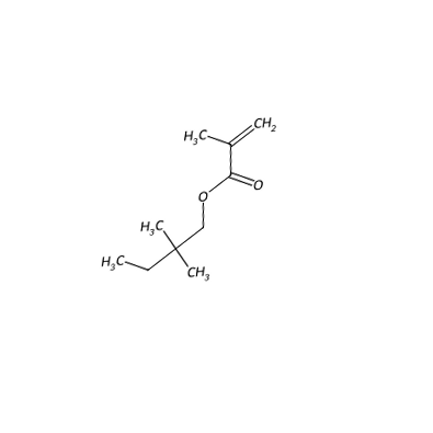 C=C(C)C(=O)OCC(C)(C)CC